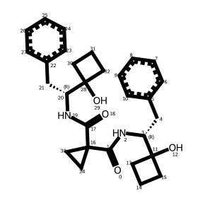 O=C(N[C@H](Cc1ccccc1)C1(O)CCC1)C1(C(=O)N[C@H](Cc2ccccc2)C2(O)CCC2)CC1